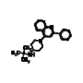 CC(C)(C)NC1CCN(c2cc(-c3ccccc3)nc3ccccc23)CC1